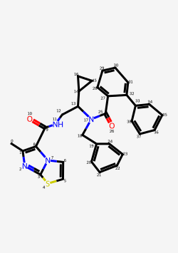 Cc1nc2sccn2c1C(=O)NCC(C1CC1)N(Cc1ccccc1)C(=O)c1ccccc1-c1ccccc1